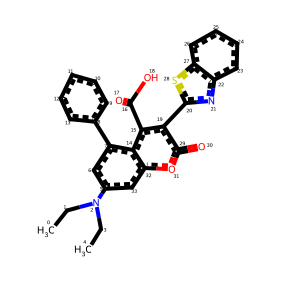 CCN(CC)c1cc(-c2ccccc2)c2c(C(=O)O)c(-c3nc4ccccc4s3)c(=O)oc2c1